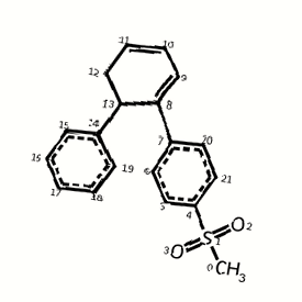 CS(=O)(=O)c1ccc(C2=CC=CCC2c2ccccc2)cc1